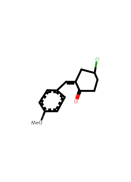 COc1ccc(/C=C2/CC(Cl)CCC2=O)cc1